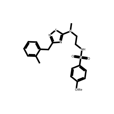 COc1ccc(S(=O)(=O)NCCN(C)c2nc(Cc3ccccc3C)ns2)cc1